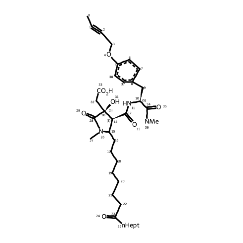 CC#CCOc1ccc(C[C@H](NC(=O)[C@H]2C(CCCCCCCC(=O)CCCCCCC)N(C)C(=O)[C@]2(O)CC(=O)O)C(=O)NC)cc1